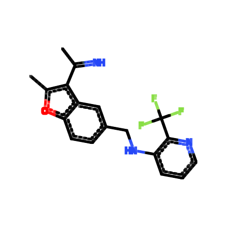 CC(=N)c1c(C)oc2ccc(CNc3cccnc3C(F)(F)F)cc12